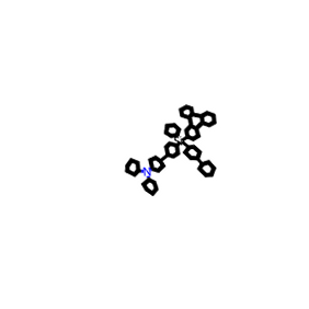 c1ccc(-c2ccc([Si](c3ccccc3)(c3ccc(-c4ccc(N(c5ccccc5)c5ccccc5)cc4)cc3)c3ccc4c5ccccc5c5ccccc5c4c3)cc2)cc1